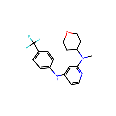 CN(c1cc(Nc2ccc(C(F)(F)F)cc2)ccn1)C1CCOCC1